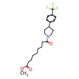 COC(=O)CCCCCCCC(=O)N1CCC(c2ccc(C(F)(F)F)cc2)CC1